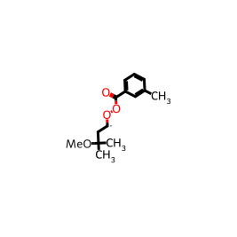 COC(C)(C)C[CH]OOC(=O)c1cccc(C)c1